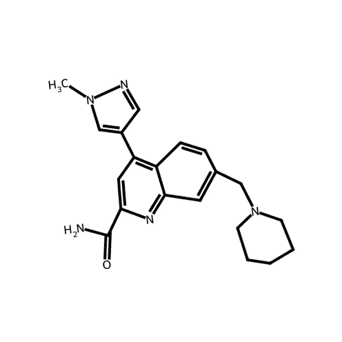 Cn1cc(-c2cc(C(N)=O)nc3cc(CN4CCCCC4)ccc23)cn1